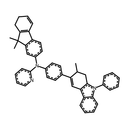 CC1Cc2c(c3ccccc3n2-c2ccccc2)C=C1c1ccc(N(c2ccc3c(c2)C(C)(C)C2=C3C=CCC2)c2ccccn2)cc1